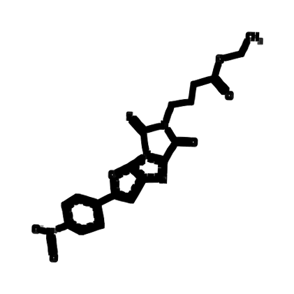 CCOC(=O)CCCN1C(=O)c2nc3cc(-c4ccc([N+](=O)[O-])cc4)oc3n2C1=S